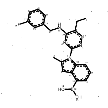 CCc1nnc(-n2c(C)cc3c(B(O)O)cccc32)nc1NCc1cccc(F)c1